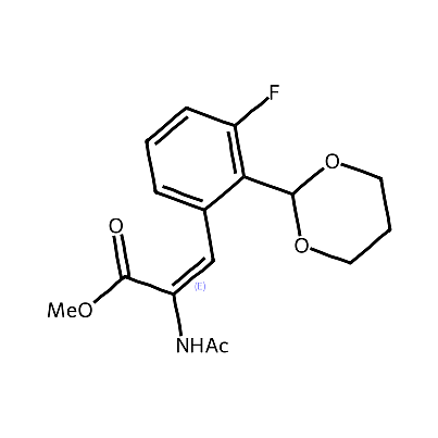 COC(=O)/C(=C\c1cccc(F)c1C1OCCCO1)NC(C)=O